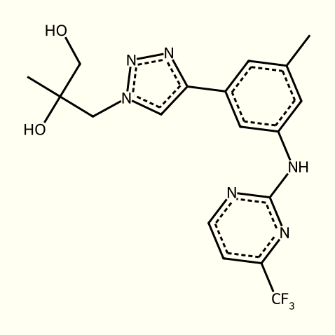 Cc1cc(Nc2nccc(C(F)(F)F)n2)cc(-c2cn(CC(C)(O)CO)nn2)c1